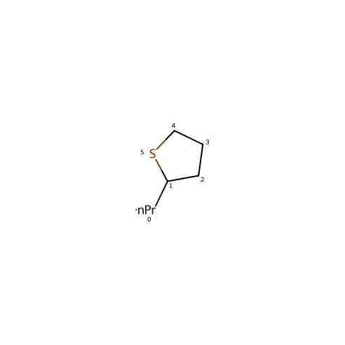 CC[CH]C1CCCS1